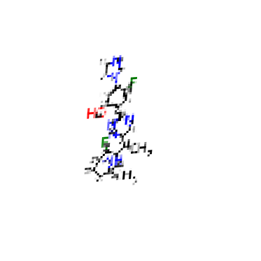 C=C(c1cnc(-c2cc(F)c(-n3ccnc3)cc2O)nn1)C1C[C@]2(C)CCC(N2)[C@H]1F